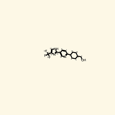 OCC1CCC(c2ccc(-c3nc(C(F)(F)F)c[nH]3)cn2)CC1